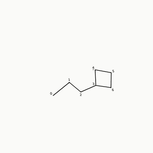 CCCC1[CH]CC1